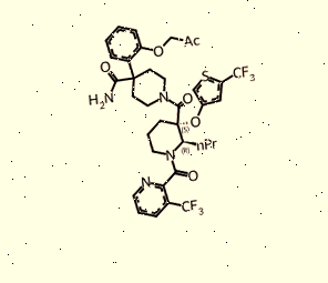 CCC[C@H]1N(C(=O)c2ncccc2C(F)(F)F)CCC[C@@]1(Oc1csc(C(F)(F)F)c1)C(=O)N1CCC(C(N)=O)(c2ccccc2OCC(C)=O)CC1